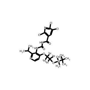 [2H]C([2H])(Oc1ccnc(C(C)C)c1NC(=O)NC(=O)c1cc(Cl)c(Cl)nc1Cl)C([2H])([2H])O[Si](C)(C)C(C)(C)C